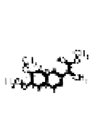 C=C(C(=O)OC)c1ccc2cc(OC)c(OC)cc2c1